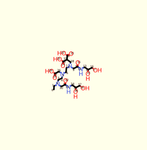 CCN(CCN(CCN(CC(=O)NCC(O)CO)CC(C(=O)O)C(=O)O)CC(=O)O)CC(=O)NCC(O)CO